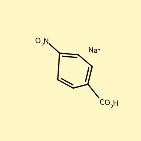 O=C(O)c1ccc([N+](=O)[O-])cc1.[Na+]